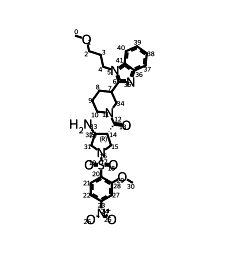 COCCCn1c(C2CCCN(C(=O)[C@@H]3CN(S(=O)(=O)c4ccc([N+](=O)[O-])cc4OC)C[C@H]3N)C2)nc2ccccc21